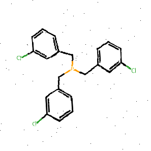 Clc1cccc(CP(Cc2cccc(Cl)c2)Cc2cccc(Cl)c2)c1